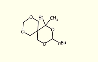 CCCCC1OCC2(COCOC2)C(C)(CC)O1